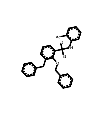 CCC(CC)(Pc1ccccc1C(C)=O)c1cccc(Cc2ccccc2)c1OCc1ccccc1